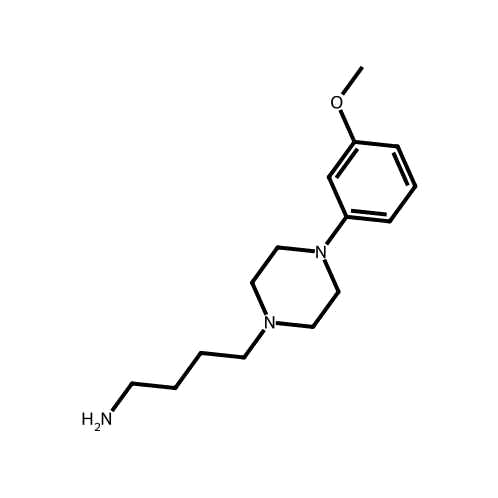 COc1cccc(N2CCN(CCCCN)CC2)c1